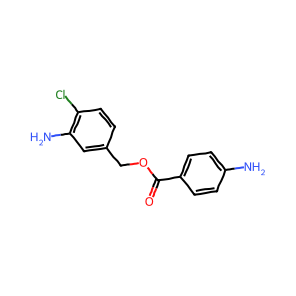 Nc1ccc(C(=O)OCc2ccc(Cl)c(N)c2)cc1